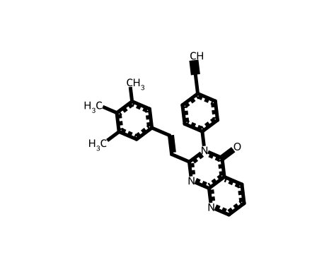 C#Cc1ccc(-n2c(/C=C/c3cc(C)c(C)c(C)c3)nc3ncccc3c2=O)cc1